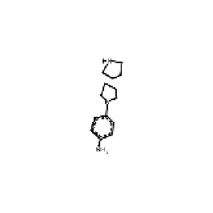 C1CCNC1.Nc1ccc(N2CCCC2)cc1